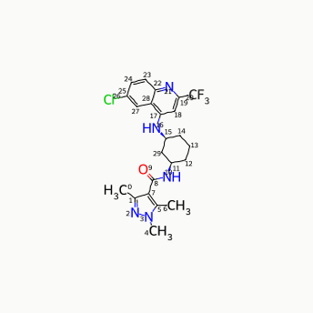 Cc1nn(C)c(C)c1C(=O)N[C@@H]1CCC[C@H](Nc2cc(C(F)(F)F)nc3ccc(Cl)cc23)C1